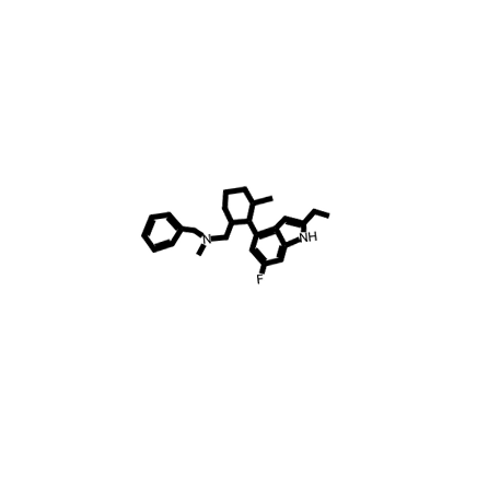 CCc1cc2c(C3C(C)CCCC3CN(C)Cc3ccccc3)cc(F)cc2[nH]1